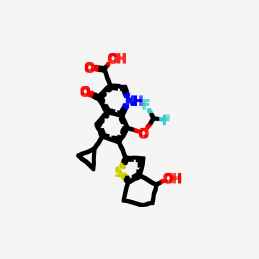 O=C(O)c1c[nH]c2c(OC(F)F)c(-c3cc4c(s3)CCCC4O)c(C3CC3)cc2c1=O